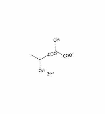 CC(O)C(=O)[O-].O=C([O-])CO.[Zr+2]